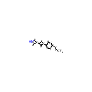 FC(F)(F)CCc1ccc(C23CC(C4CNC4)(C2)C3)cc1